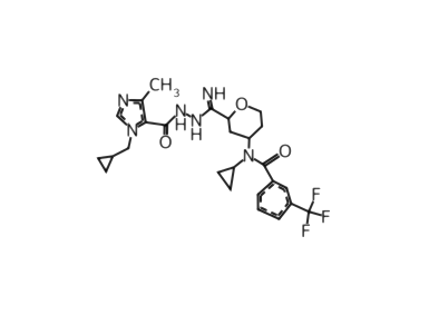 Cc1ncn(CC2CC2)c1C(=O)NNC(=N)C1CC(N(C(=O)c2cccc(C(F)(F)F)c2)C2CC2)CCO1